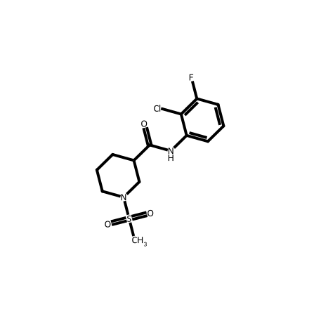 CS(=O)(=O)N1CCCC(C(=O)Nc2cccc(F)c2Cl)C1